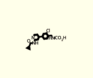 O=C(O)NCc1ccc(-c2ccnc(NC(=O)C3CC3)c2)cc1Cl